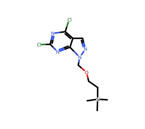 C[Si](C)(C)CCOCn1ncc2c(Cl)nc(Cl)nc21